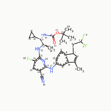 CC1=CC(CC(F)F)c2ccc(Nc3nc(N[C@H](C)[C@@H](NC(=O)OC(C)(C)C)C4CC4)c(F)cc3C#N)cc21